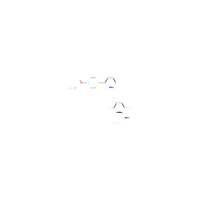 COC(=O)c1cc(F)c(COc2cccc(C3CCN(C(=O)OC(C)(C)C)CC3)n2)cc1Br